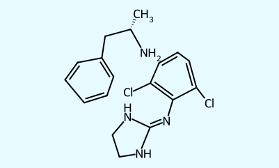 C[C@H](N)Cc1ccccc1.Clc1cccc(Cl)c1N=C1NCCN1